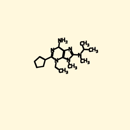 CCN1C(C2CCCC2)=NC(N)c2nc(N(C)C(C)C)n(C)c21